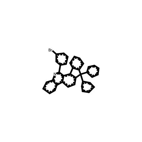 Brc1cccc(-c2nc3ccccc3c3ccc4c(c23)-c2ccccc2C4(c2ccccc2)c2ccccc2)c1